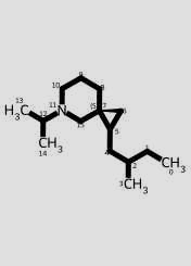 CCC(C)CC1C[C@@]12CCCN(C(C)C)C2